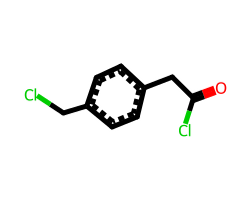 O=C(Cl)Cc1ccc(CCl)cc1